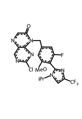 COc1cc(Cn2c(=O)cnc3cnc(Cl)nc32)cc(F)c1-c1nc(C(F)(F)F)cn1C(C)C